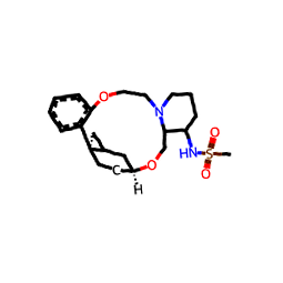 CS(=O)(=O)NC1CCCN2CCOc3ccccc3[C@]34CC[C@@H](CC3C4)OCC12